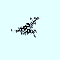 COc1ncc(-c2ccc3c(Nc4cc(OC(C)C)cc(C(=O)O)c4)c(S(=O)(=O)NCCN(C)C)cnc3c2)c(OC)n1